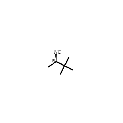 [C-]#[N+][C@H](C)C(C)(C)C